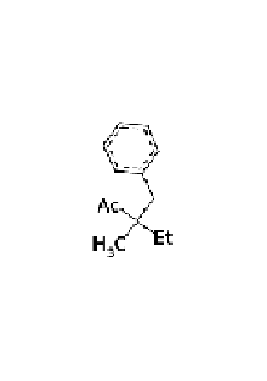 CCC(C)(Cc1ccccc1)C(C)=O